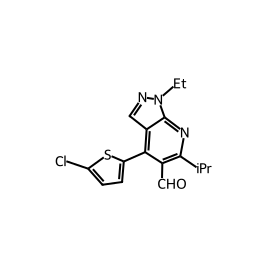 CCn1ncc2c(-c3ccc(Cl)s3)c(C=O)c(C(C)C)nc21